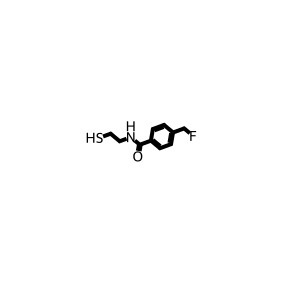 O=C(NCCS)c1ccc(CF)cc1